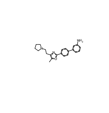 Cc1oc(-c2ccc(-c3cccc(N)c3)cc2)nc1CCN1CCCC1